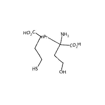 CCCC(N)(CCO)C(=O)O.O=C(O)CCCS